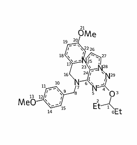 CCC(CC)Oc1nc(N(Cc2ccc(OC)cc2)Cc2ccc(OC)cc2)c2nccn2n1